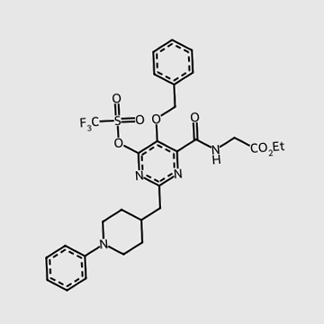 CCOC(=O)CNC(=O)c1nc(CC2CCN(c3ccccc3)CC2)nc(OS(=O)(=O)C(F)(F)F)c1OCc1ccccc1